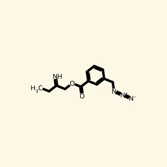 CCC(=N)COC(=O)c1cccc(CN=[N+]=[N-])c1